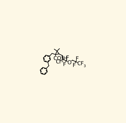 CC1(C)C(C=C(Cl)C(F)(F)OCC(F)(F)C(F)(F)F)C1(Cc1cccc(Cc2ccccc2)c1)C(=O)O